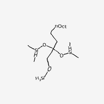 CCCCCCCCCCC(CO[SiH3])(O[SiH](C)C)O[SiH](C)C